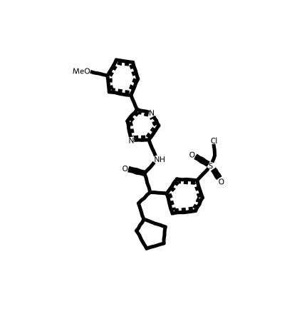 COc1cccc(-c2cnc(NC(=O)C(CC3CCCC3)c3cccc(S(=O)(=O)CCl)c3)cn2)c1